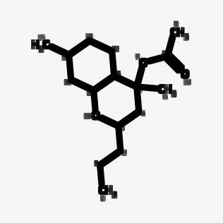 CCCC1CC(C)(OC(C)=O)C2CCC(C)CC2O1